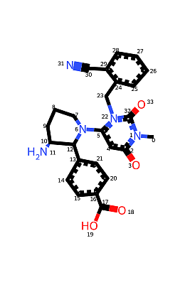 Cn1c(=O)cc(N2CCC[C@H](N)C2c2ccc(C(=O)O)cc2)n(Cc2ccccc2C#N)c1=O